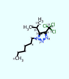 CCCCCCn1nnc(C(Cl)(Cl)Cl)c1C(C)C